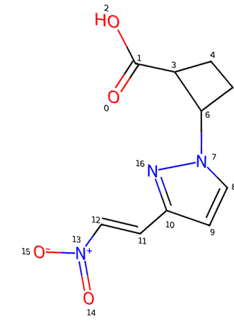 O=C(O)C1CCC1n1ccc(C=C[N+](=O)[O-])n1